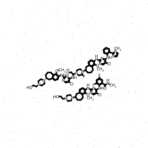 CNC(=O)c1cc(F)cc(F)c1Nc1nc(Nc2ccc3c(c2OC)CCCC(N2CCN(CCO)CC2)C3)ncc1Cl.COc1c(Nc2ncc(Cl)c(Nc3ccccc3-c3nccn3C)n2)ccc2c1CCCC(N1CCN(C(CO)Nc3nc(Nc4ccc5c(c4OC)CCC[C@@H](N4CCN(CCO)CC4)C5)ncc3Cl)CC1F)C2